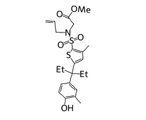 C=CCN(CC(=O)OC)S(=O)(=O)c1sc(C(CC)(CC)c2ccc(O)c(C)c2)cc1C